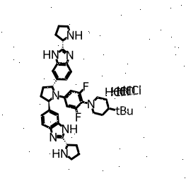 CC(C)(C)C1CCN(c2c(F)cc(N3[C@@H](c4ccc5nc([C@@H]6CCCN6)[nH]c5c4)CC[C@@H]3c3ccc4nc([C@@H]5CCCN5)[nH]c4c3)cc2F)CC1.Cl.Cl.Cl.Cl